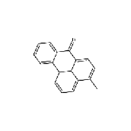 CC1=CC=C2C(=O)c3ccccc3C3C=CC=C1C23